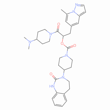 Cc1cc(CC(OC(=O)N2CCC(N3CCc4ccccc4NC3=O)CC2)C(=O)N2CCC(N(C)C)CC2)cc2ccnn12